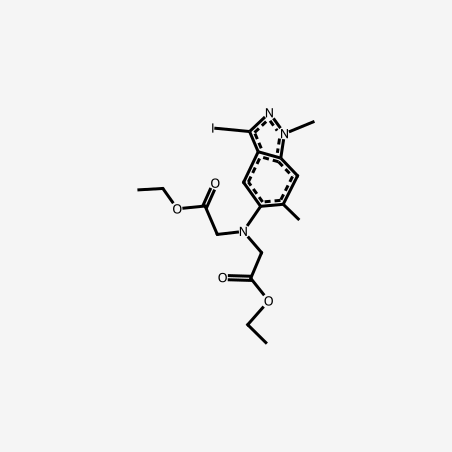 CCOC(=O)CN(CC(=O)OCC)c1cc2c(I)nn(C)c2cc1C